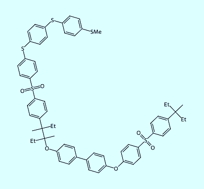 CCC(C)(CC)c1ccc(S(=O)(=O)c2ccc(Oc3ccc(-c4ccc(OC(C)(CC)C(C)(CC)c5ccc(S(=O)(=O)c6ccc(Sc7ccc(Sc8ccc(SC)cc8)cc7)cc6)cc5)cc4)cc3)cc2)cc1